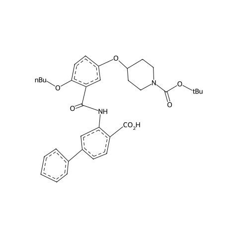 CCCCOc1ccc(OC2CCN(C(=O)OC(C)(C)C)CC2)cc1C(=O)Nc1cc(-c2ccccc2)ccc1C(=O)O